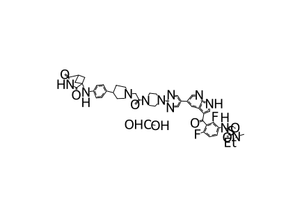 CCN(C)S(=O)(=O)Nc1ccc(F)c(C(=O)c2c[nH]c3ncc(-c4cnc(N5CCN(C(=O)CN6CCC(c7ccc(NC89CC(C8)C(=O)NC9=O)cc7)CC6)CC5)nc4)cc23)c1F.O=CO